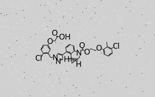 Cc1c(Cl)cccc1OCCOC(=O)N1C[C@@H]2C[C@@H]2c2c(-c3cnn(Cc4cc(OCC(=O)O)ccc4Cl)c3)cccc21